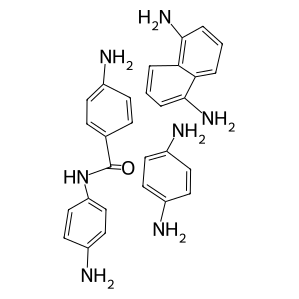 Nc1ccc(N)cc1.Nc1ccc(NC(=O)c2ccc(N)cc2)cc1.Nc1cccc2c(N)cccc12